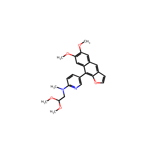 COc1cc2cc3ccoc3c(-c3ccc(N(C)CC(OC)OC)nc3)c2cc1OC